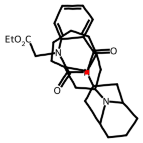 CCOC(=O)Cn1c(=O)n(C2CC3CCCC(C2)N3C2CC3CCCCC(C3)C2)c(=O)c2ccccc21